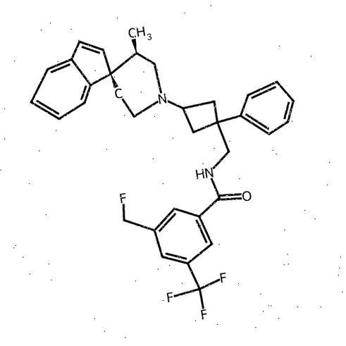 C[C@H]1CN(C2CC(CNC(=O)c3cc(CF)cc(C(F)(F)F)c3)(c3ccccc3)C2)CC[C@@]12C=Cc1ccccc12